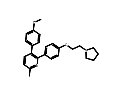 COc1ccc(-c2ccc(C)nc2-c2ccc(OCCN3CCCC3)cc2)cc1